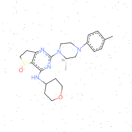 Cc1ccc(N2CCN(c3nc4c(c(NC5CCOCC5)n3)[S+]([O-])CC4)[C@@H](C)C2)cc1